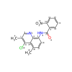 Cc1cnc2c(NC(=O)c3ccccc3[N+](=O)[O-])ccc(C)c2c1Cl